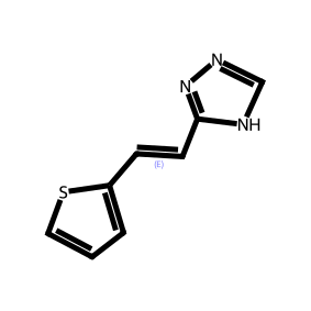 C(=C\c1cccs1)/c1nnc[nH]1